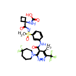 Cc1c(C(F)(F)F)nnc(N2CCCC(F)(F)CC2)c1C(=O)Nc1cccc(S(C)(=O)=NC(=O)C2(NC(=O)O)CCC2)c1